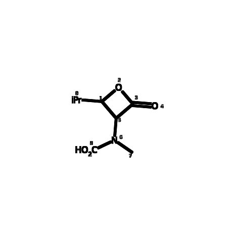 CC(C)C1OC(=O)C1N(C)C(=O)O